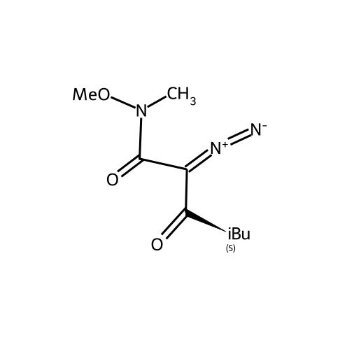 CC[C@H](C)C(=O)C(=[N+]=[N-])C(=O)N(C)OC